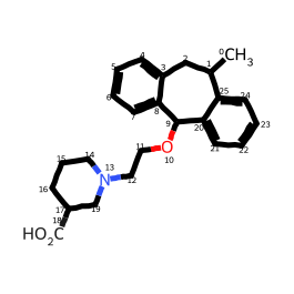 CC1Cc2ccccc2C(OCCN2CCCC(C(=O)O)C2)c2ccccc21